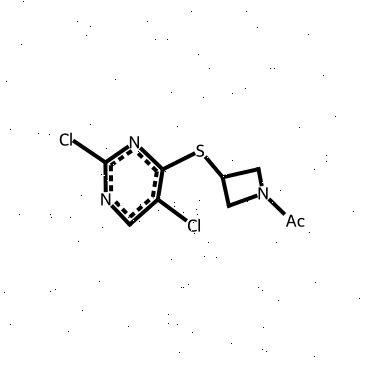 CC(=O)N1CC(Sc2nc(Cl)ncc2Cl)C1